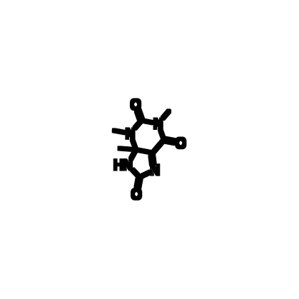 CN1C(=O)C2=NC(=O)NC2(C)N(C)C1=O